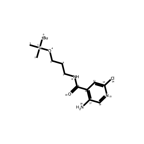 CC(C)(C)[Si](C)(C)OCCCNC(=O)c1cc(Cl)ncc1N